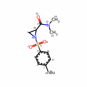 CCCCc1ccc(S(=O)(=O)N2CC2C(=O)N(C)C)cc1